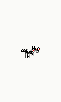 CN(C)c1cc(NC(=S)NC(=O)Cc2ccccc2)ccc1Oc1ccnc2cc(C(=O)N3CCCC3)sc12